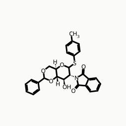 Cc1ccc(SC2O[C@@H]3COC(c4ccccc4)O[C@H]3[C@H](O)[C@H]2N2C(=O)c3ccccc3C2=O)cc1